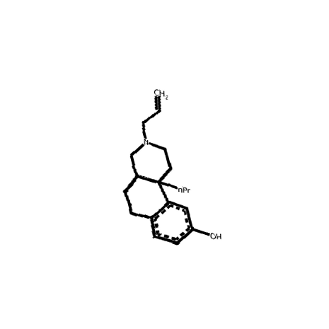 C=CCN1CCC2(CCC)c3cc(O)ccc3CCC2C1